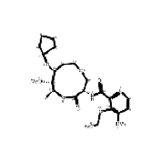 COc1ccnc(C(=O)N[C@H]2CCCC[C@H](OC3CCCC3)[C@@H](OC)[C@H](C)OC2=O)c1OCOC(C)=O